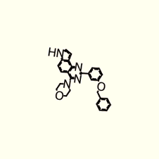 c1ccc(COc2cccc(-c3nc(N4CCOCC4)c4ccc5[nH]ccc5c4n3)c2)cc1